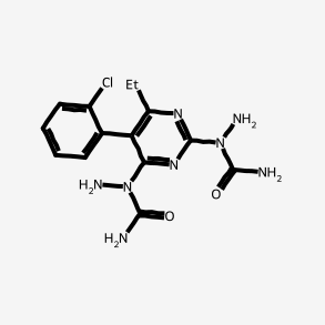 CCc1nc(N(N)C(N)=O)nc(N(N)C(N)=O)c1-c1ccccc1Cl